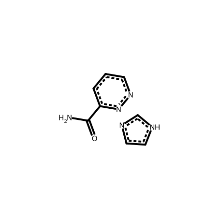 NC(=O)c1cccnn1.c1c[nH]cn1